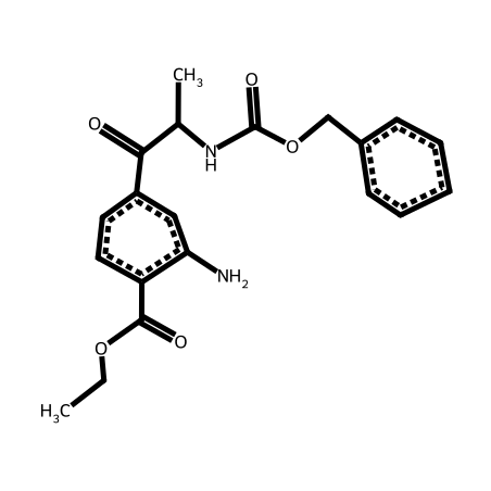 CCOC(=O)c1ccc(C(=O)C(C)NC(=O)OCc2ccccc2)cc1N